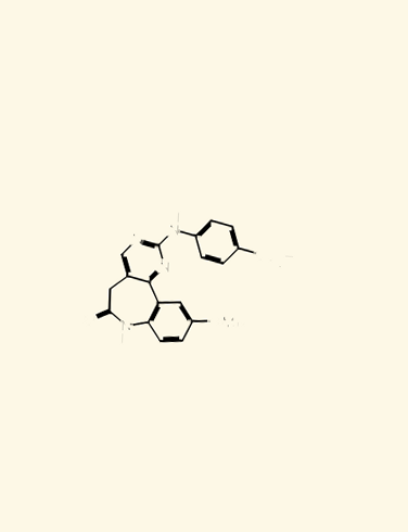 COc1ccc2c(c1)-c1nc(Nc3ccc(C(=O)O)cc3)ncc1CC(=O)N2